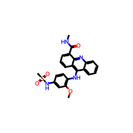 CNC(=O)c1cccc2c(Nc3ccc(NS(C)(=O)=O)cc3OC)c3ccccc3nc12